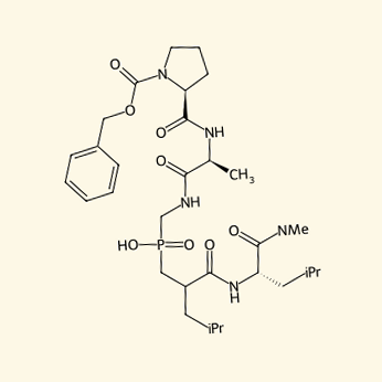 CNC(=O)[C@H](CC(C)C)NC(=O)C(CC(C)C)CP(=O)(O)CNC(=O)[C@H](C)NC(=O)[C@@H]1CCCN1C(=O)OCc1ccccc1